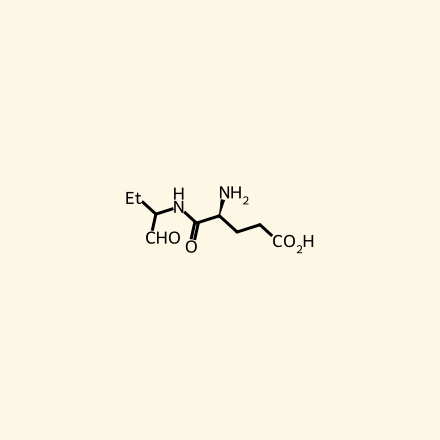 CCC(C=O)NC(=O)[C@@H](N)CCC(=O)O